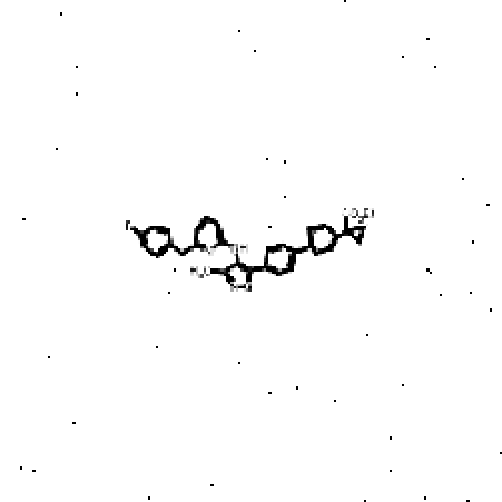 CCOC(=O)C1(c2ccc(-c3ccc(-c4onc(C)c4Nc4cccc(Cc5ccc(F)cc5)n4)cc3)cc2)CC1